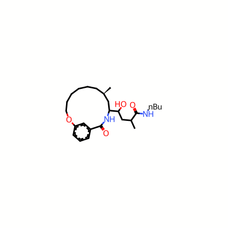 CCCCNC(=O)C(C)CC(O)C1C[C@H](C)CCCCCCOc2cccc(c2)C(=O)N1